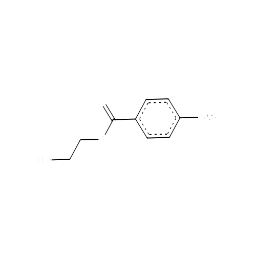 COc1ccc(C(=O)OCCO)cc1